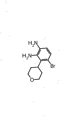 Nc1ccc(Br)c(C2CCOCC2)c1N